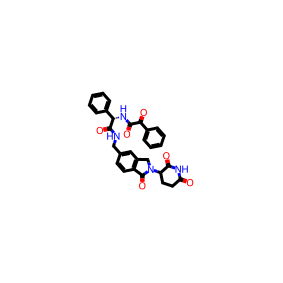 O=C1CCC(N2Cc3cc(CNC(=O)[C@@H](NC(=O)C(=O)c4ccccc4)c4ccccc4)ccc3C2=O)C(=O)N1